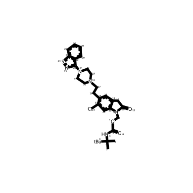 CC(C)(C)C(C)(C)NC(=O)OCN1C(=O)Cc2cc(CCN3CCN(c4nsc5ccccc45)CC3)c(Cl)cc21